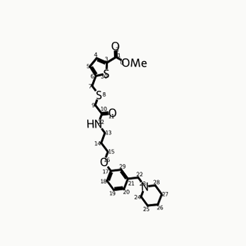 COC(=O)c1ccc(CSCC(=O)NCCCOc2cccc(CN3CCCCC3)c2)s1